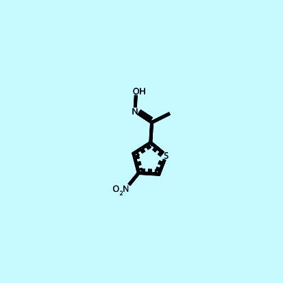 CC(=NO)c1cc([N+](=O)[O-])cs1